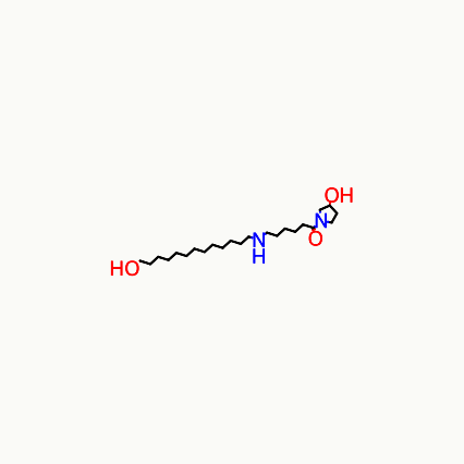 O=C(CCCCCNCCCCCCCCCCCCCO)N1CC[C@@H](O)C1